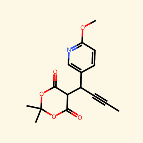 CC#CC(c1ccc(OC)nc1)C1C(=O)OC(C)(C)OC1=O